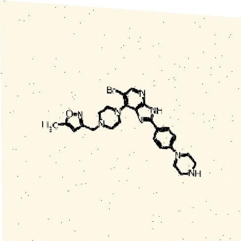 Cc1cc(CN2CCN(c3c(Br)cnc4[nH]c(-c5ccc(N6CCNCC6)cc5)nc34)CC2)no1